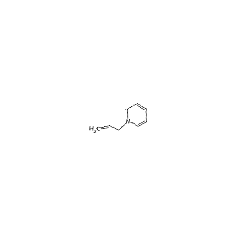 C=CCN1[CH]C=CC=C1